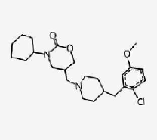 COc1ccc(Cl)c(CC2CCN(CC3COC(=O)N(C4CCCCC4)C3)CC2)c1